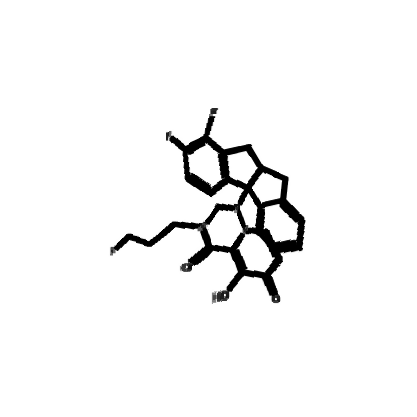 O=C1c2c(O)c(=O)ccn2N(C23c4ccccc4CC2Cc2c3ccc(F)c2F)CN1CCCF